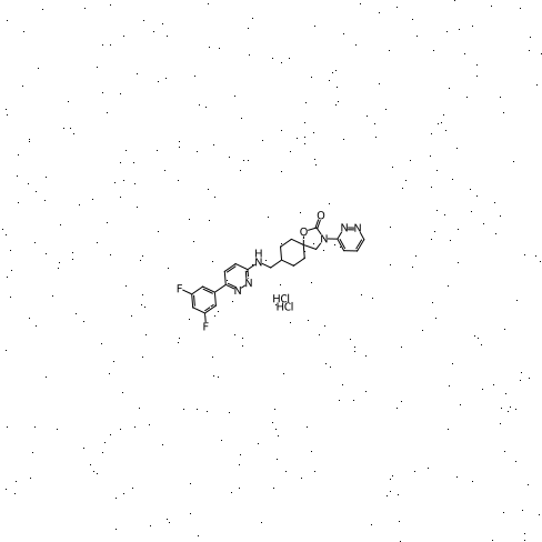 Cl.Cl.O=C1OC2(CCC(CNc3ccc(-c4cc(F)cc(F)c4)nn3)CC2)CN1c1cccnn1